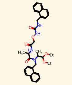 CCOC(OCC)C(C)N(Cc1cccc2ccccc12)C(=O)C(C)NC(=O)CONC(=O)NCc1cccc2ccccc12